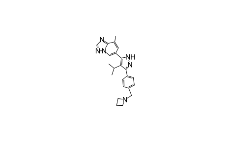 Cc1cc(-c2[nH]nc(-c3ccc(CN4CCC4)cc3)c2C(C)C)cn2ncnc12